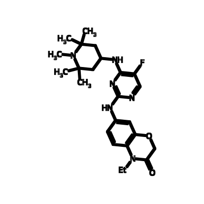 CCN1C(=O)COc2cc(Nc3ncc(F)c(NC4CC(C)(C)N(C)C(C)(C)C4)n3)ccc21